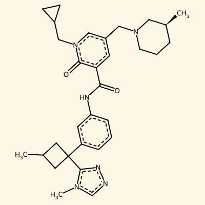 CC1CC(c2cccc(NC(=O)c3cc(CN4CCC[C@H](C)C4)cn(CC4CC4)c3=O)c2)(c2nncn2C)C1